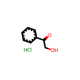 Cl.O=C(CO)c1ccccc1